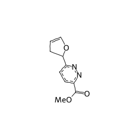 COC(=O)c1ccc(C2CC=CO2)nn1